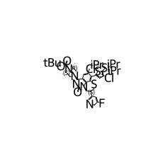 CC(C)[Si](c1sc(-c2c(C(F)(F)F)cc3c(N4C[C@@H](C)N(C(=O)OC(C)(C)C)[C@@H](C)C4)nc(=O)n4c3c2SC[C@@H](c2cncc(F)c2)C4)cc1Cl)(C(C)C)C(C)C